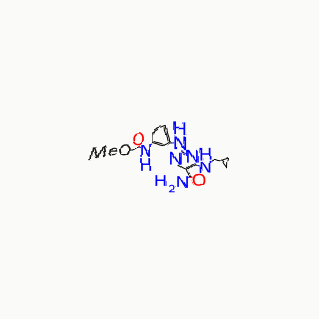 COCC(=O)Nc1cccc(Nc2ncc(C(N)=O)c(NCC3CC3)n2)c1